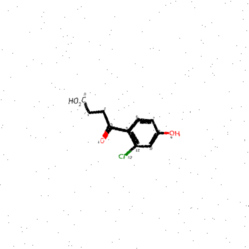 O=C(O)CCC(=O)c1ccc(O)cc1Cl